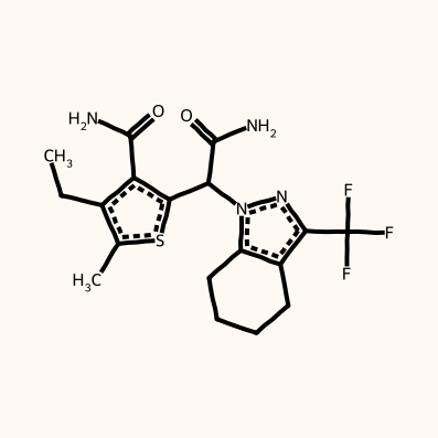 CCc1c(C)sc(C(C(N)=O)n2nc(C(F)(F)F)c3c2CCCC3)c1C(N)=O